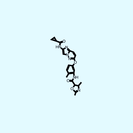 CC1=NC(C)C(C(=O)Nc2cc(Oc3ccc4nc(NC(=O)C5CC5)cn4n3)ccc2C)O1